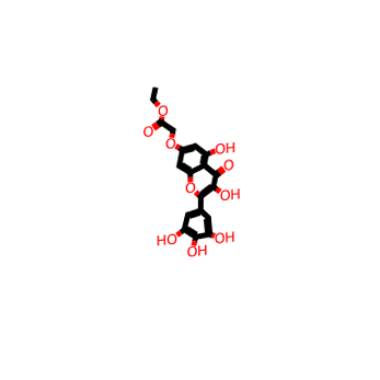 CCOC(=O)COc1cc(O)c2c(=O)c(O)c(-c3cc(O)c(O)c(O)c3)oc2c1